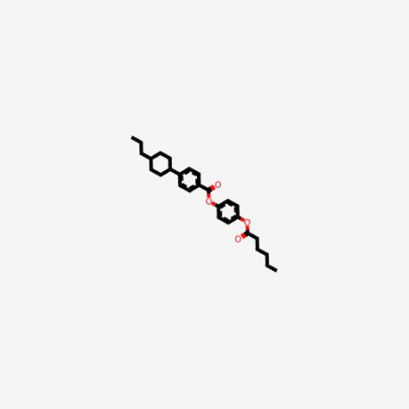 CCCCCC(=O)Oc1ccc(OC(=O)c2ccc(C3CCC(CCC)CC3)cc2)cc1